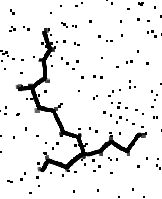 [CH2]CCCC(CCC)CCCCC(C)CCCC